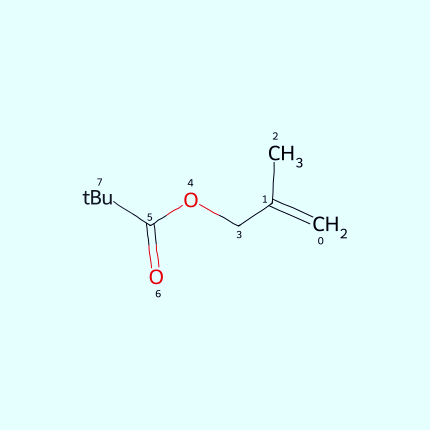 C=C(C)COC(=O)C(C)(C)C